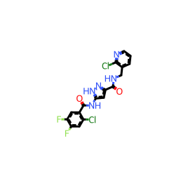 O=C(NCc1cccnc1Cl)c1cc(NC(=O)c2cc(F)c(F)cc2Cl)[nH]n1